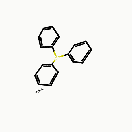 [Sb+3].c1ccc([S+](c2ccccc2)c2ccccc2)cc1